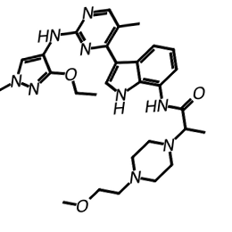 CCOc1nn(C)cc1Nc1ncc(C)c(-c2c[nH]c3c(NC(=O)C(C)N4CCN(CCOC)CC4)cccc23)n1